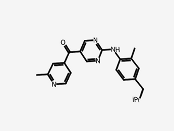 Cc1cc(C(=O)c2cnc(Nc3ccc(CC(C)C)cc3C)nc2)ccn1